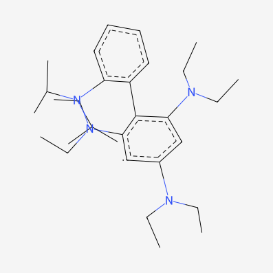 CCN(CC)c1[c]c(N(CC)CC)c(-c2ccccc2N(C(C)C)C(C)C)c(N(CC)CC)c1